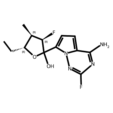 CC[C@H]1OC(O)(c2ccc3c(N)nc(F)nn23)[C@H](F)[C@@H]1C